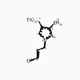 CCOC(=O)c1cn(CC=CCl)nc1C